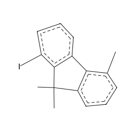 Cc1cccc2c1-c1cccc(I)c1C2(C)C